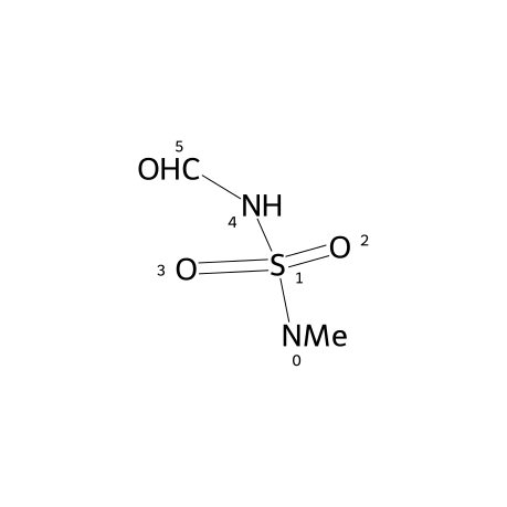 CNS(=O)(=O)NC=O